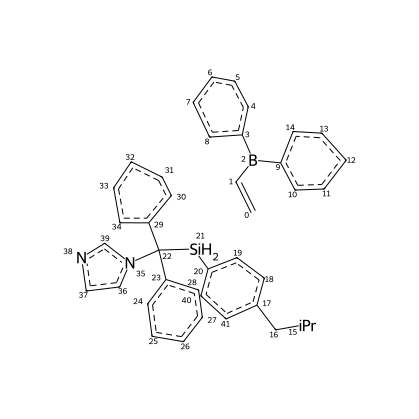 C=CB(c1ccccc1)c1ccccc1.CC(C)Cc1ccc([SiH2]C(c2ccccc2)(c2ccccc2)n2ccnc2)cc1